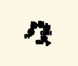 Cc1ncc(NC(=O)c2cc(C3CC3)n(C(C)(C)C)n2)cc1-n1cc(-c2cncc(N3CCN(C(C)C)CC3)c2)nn1